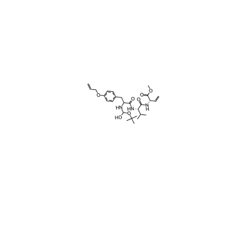 C=CCOc1ccc(CC(NC(O)OC(C)(C)C)C(=O)N[C@H](C(=O)N[C@@H](C=C)C(=O)OC)C(C)C)cc1